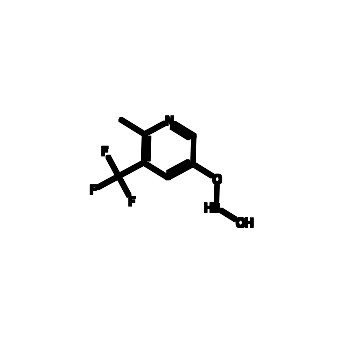 Cc1ncc(OBO)cc1C(F)(F)F